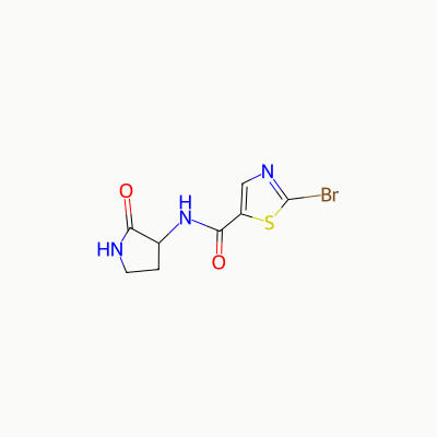 O=C(NC1CCNC1=O)c1cnc(Br)s1